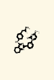 NC(=O)Cc1ccc(Nc2nc(-c3cccc(-n4ccc(N)nc4=O)c3)nc3c2CCCC3)cc1